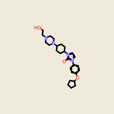 O=c1n(-c2ccc(OC3CCCC3)cc2)ccn1C1CCC(N2CCN(CCO)CC2)CC1